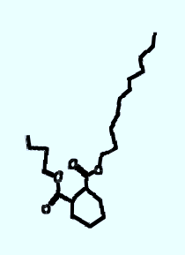 CCCCCCCCCCCOC(=O)C1CCCCC1C(=O)OCCCC